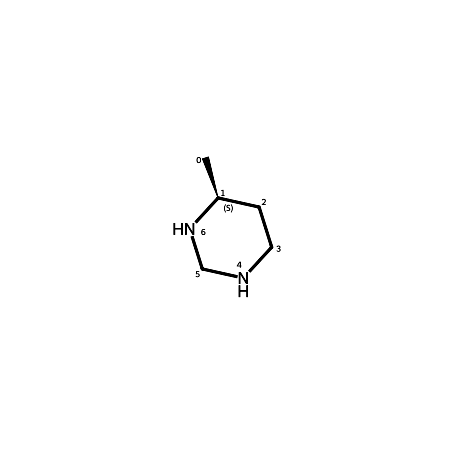 C[C@H]1CCNCN1